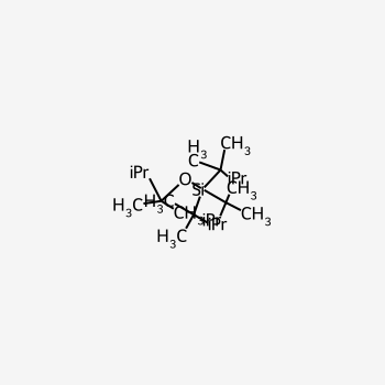 CC(C)C(C)(C)O[Si](C(C)(C)C(C)C)(C(C)(C)C(C)C)C(C)(C)C(C)C